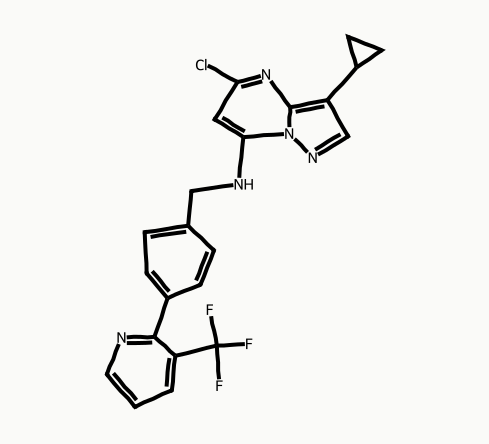 FC(F)(F)c1cccnc1-c1ccc(CNc2cc(Cl)nc3c(C4CC4)cnn23)cc1